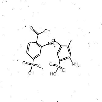 Cc1cc(N)c(S(=O)(=O)O)cc1Cl.Nc1cc(S(=O)(=O)O)ccc1C(=O)O